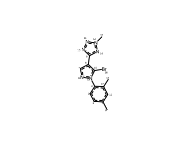 Cc1ccc(-n2ncc(-c3nnn(C)n3)c2Br)c(C)c1